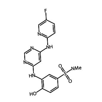 CNS(=O)(=O)c1ccc(O)c(Nc2cc(Nc3ccc(F)cn3)ncn2)c1